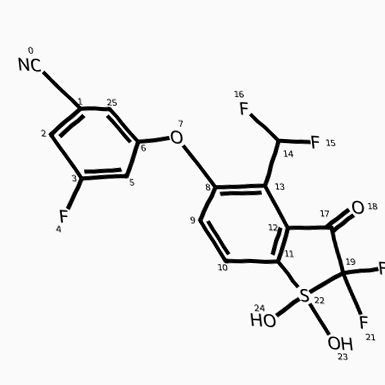 N#Cc1cc(F)cc(Oc2ccc3c(c2C(F)F)C(=O)C(F)(F)S3(O)O)c1